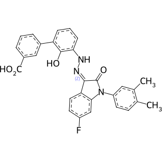 Cc1ccc(N2C(=O)/C(=N\Nc3cccc(-c4cccc(C(=O)O)c4)c3O)c3ccc(F)cc32)cc1C